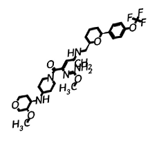 C=C(/C=C(\N=C(/N)OC)C(=O)N1CCC(N[C@@H]2CCOC[C@@H]2OC)CC1)NC[C@H]1CCC[C@@H](c2ccc(OC(F)(F)F)cc2)O1